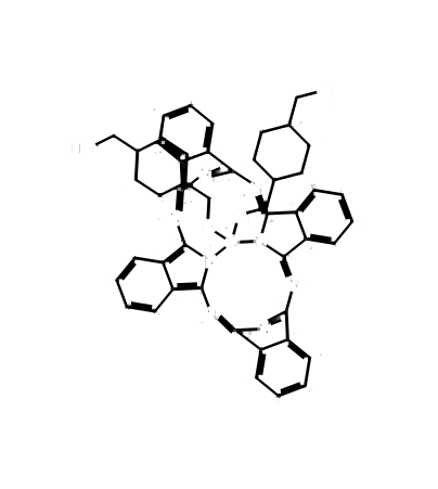 OCC1CCC(CO[Si]2(OCC3CCC(CO)CC3)n3c4c5ccccc5c3/N=C3N=C(/N=c5/c6ccccc6/c(n52)=N/C2=NC(=N\4)/c4ccccc42)c2ccccc2\3)CC1